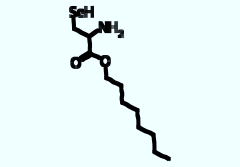 CCCCCCCCOC(=O)C(N)C[SeH]